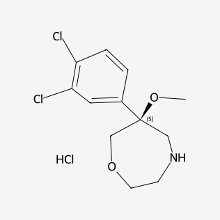 CO[C@@]1(c2ccc(Cl)c(Cl)c2)CNCCOC1.Cl